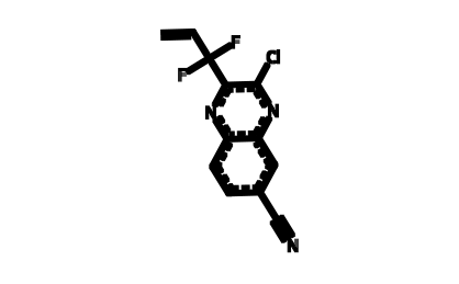 C=CC(F)(F)c1nc2ccc(C#N)cc2nc1Cl